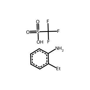 CCc1ccccc1N.O=S(=O)(O)C(F)(F)F